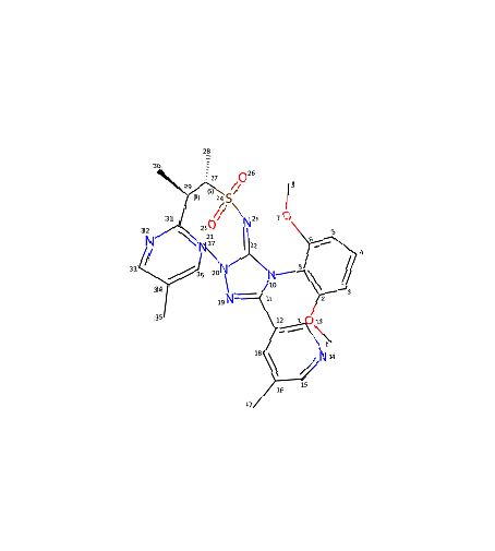 COc1cccc(OC)c1-n1c(-c2cncc(C)c2)nn(C)c1=NS(=O)(=O)[C@@H](C)[C@H](C)c1ncc(C)cn1